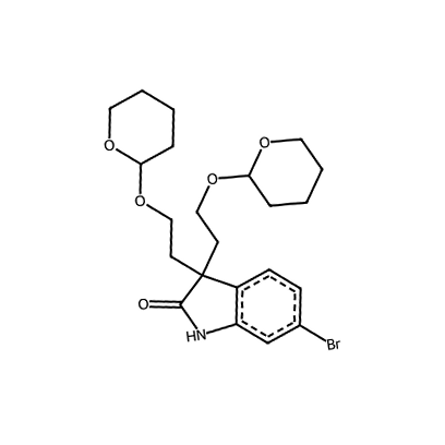 O=C1Nc2cc(Br)ccc2C1(CCOC1CCCCO1)CCOC1CCCCO1